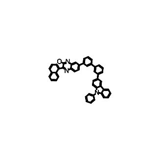 c1ccc(-n2c3ccccc3c3cc(-c4cccc(-c5cccc(-c6ccc7nc8c(nc7c6)oc6ccc7ccccc7c68)c5)c4)ccc32)cc1